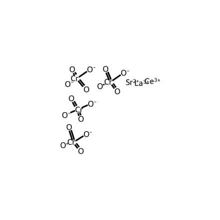 [Ce+3].[La+3].[O]=[Cr](=[O])([O-])[O-].[O]=[Cr](=[O])([O-])[O-].[O]=[Cr](=[O])([O-])[O-].[O]=[Cr](=[O])([O-])[O-].[Sr+2]